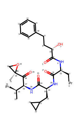 CC(C)C[C@H](NC(=O)[C@@H](O)CCc1ccccc1)C(=O)N[C@@H](CC1CC1)C(=O)N[C@H](C(=O)[C@@]1(C)CO1)[C@@H](C)C(C)C